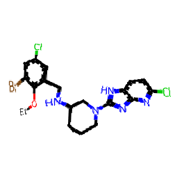 CCOc1c(Br)cc(Cl)cc1CNC1CCCN(c2nc3nc(Cl)ccc3[nH]2)C1